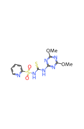 COc1nc(NC(=S)NS(=O)(=O)c2ccccn2)nc(OC)n1